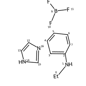 CCNc1ccccc1.FB(F)F.c1c[nH]cn1